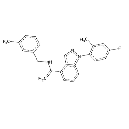 C=C(NCc1cccc(C(F)(F)F)c1)c1cccc2c1cnn2-c1ccc(F)cc1C